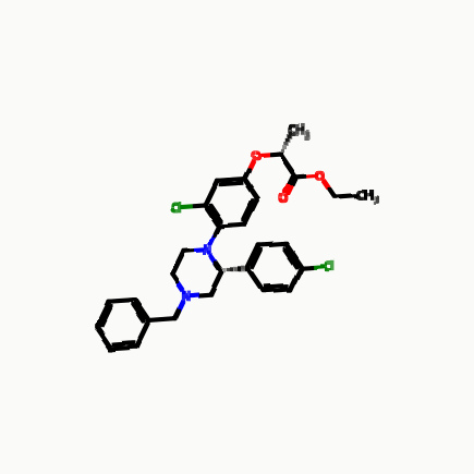 CCOC(=O)[C@@H](C)Oc1ccc(N2CCN(Cc3ccccc3)C[C@H]2c2ccc(Cl)cc2)c(Cl)c1